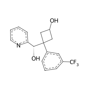 OC1CC(c2cccc(C(F)(F)F)c2)([C@H](O)c2ccccn2)C1